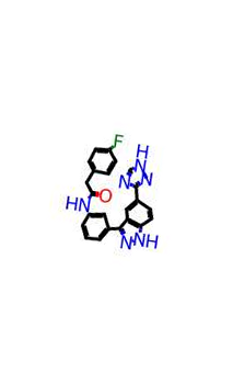 O=C(Cc1ccc(F)cc1)Nc1cccc(-c2n[nH]c3ccc(-c4nc[nH]n4)cc23)c1